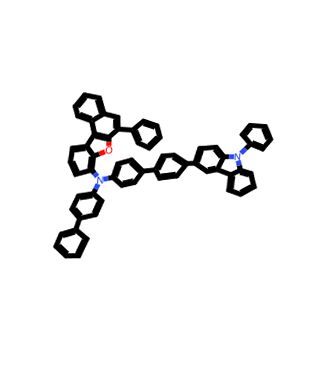 c1ccc(-c2ccc(N(c3ccc(-c4ccc(-c5ccc6c(c5)c5ccccc5n6-c5ccccc5)cc4)cc3)c3cccc4c3oc3c(-c5ccccc5)cc5ccccc5c34)cc2)cc1